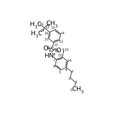 CCCCc1ccc(NS(=O)(=O)c2cccc(C(C)(C)C)c2)c(I)c1